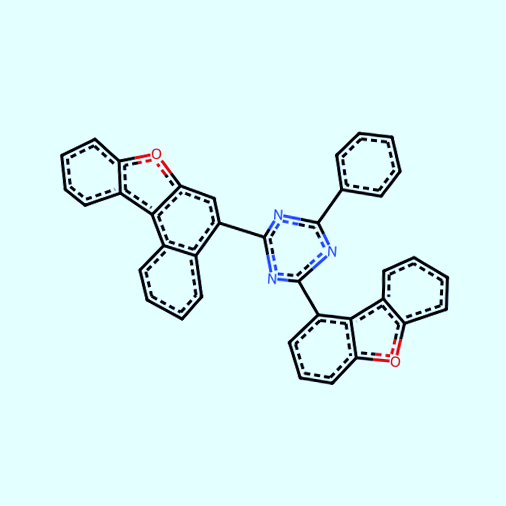 c1ccc(-c2nc(-c3cc4oc5ccccc5c4c4ccccc34)nc(-c3cccc4oc5ccccc5c34)n2)cc1